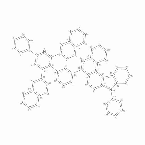 c1ccc(-c2nc(-c3ccc4ccccc4c3)c(-c3cccc(-c4nc5ccccc5c5c4ccc4c5c5ccccc5n4-c4ccccc4)c3)c(-c3ccc4ccccc4c3)n2)cc1